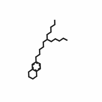 CCCCCC(CCCCC)CCCCCc1ccc2c(c1)CCCC2